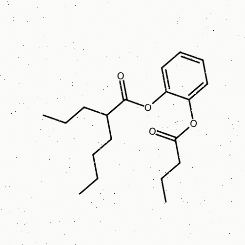 CCCCC(CCC)C(=O)Oc1ccccc1OC(=O)CCC